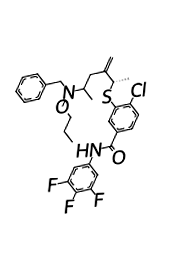 C=C(CC(C)N(Cc1ccccc1)OCCC)[C@H](C)Sc1cc(C(=O)Nc2cc(F)c(F)c(F)c2)ccc1Cl